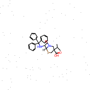 CC(C)C1(C(=O)O)CS[C@@H]2C(NC(c3ccccc3)(c3ccccc3)c3ccccc3)C(=O)N2C1